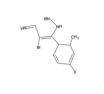 CC1C=C(F)C=CC1/C(NC(C)(C)C)=C(\Br)C=N